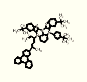 C=C/C(=C\C=C(/C)c1ccc2c3ccccc3c3ccccc3c2c1)N1c2cccc3c2B(c2sc4ccc(C(C)(C)C)cc4c21)c1sc2ccc(C(C)(C)C)cc2c1N3c1ccc(C(C)(C)C)cc1